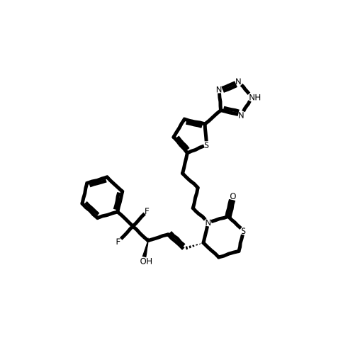 O=C1SCC[C@H](C=C[C@@H](O)C(F)(F)c2ccccc2)N1CCCc1ccc(-c2nn[nH]n2)s1